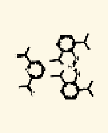 CC(=O)c1cccc(C(C)=O)n1.CC(C)c1cccc(C(C)C)c1[N]=[Fe]=[N]c1c(C(C)C)cccc1C(C)C